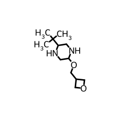 CC(C)(C)C1CNC(OCC2COC2)CN1